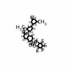 COc1cc(-c2cc(C)cc(Cl)c2)ccc1-n1c(=O)ccc2cc(S(=O)(=O)Oc3c(F)c(F)c(F)c(F)c3F)ccc21